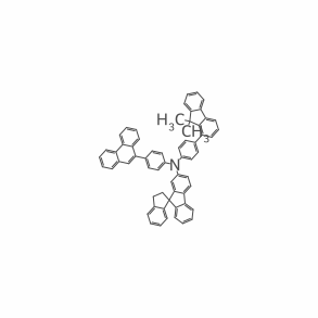 CC1(C)c2ccccc2-c2cccc(-c3ccc(N(c4ccc(-c5cc6ccccc6c6ccccc56)cc4)c4ccc5c(c4)C4(CCc6ccccc64)c4ccccc4-5)cc3)c21